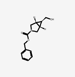 O=C(OCc1ccccc1)N1C[C@@H]2[C@@H](CO)[C@@H]2C1